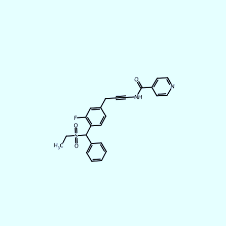 CCS(=O)(=O)C(c1ccccc1)c1ccc(CC#CNC(=O)c2ccncc2)cc1F